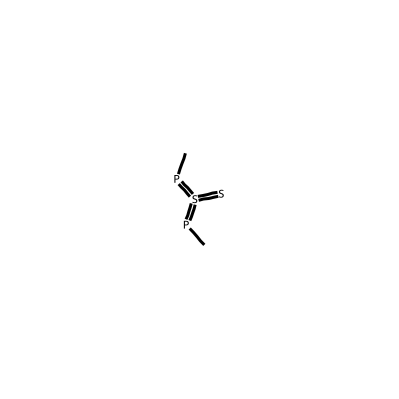 CP=S(=S)=PC